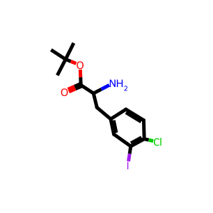 CC(C)(C)OC(=O)C(N)Cc1ccc(Cl)c(I)c1